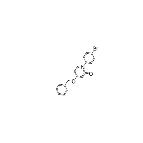 O=c1cc(OCc2ccccc2)ccn1-c1ccc(Br)cc1